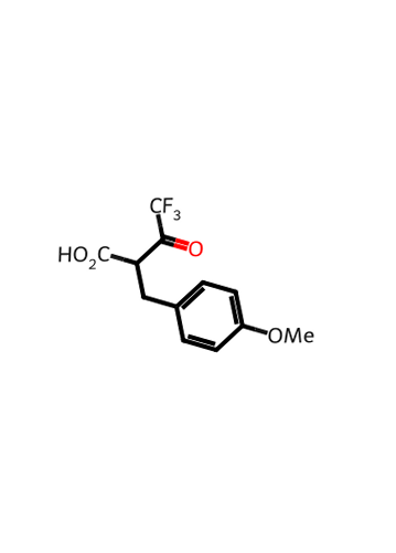 COc1ccc(CC(C(=O)O)C(=O)C(F)(F)F)cc1